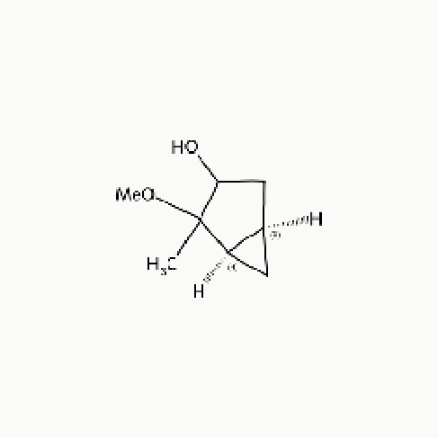 COC1(C)C(O)C[C@H]2C[C@H]21